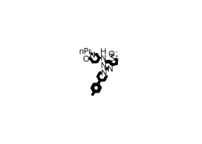 CCCN1C[C@@H](Nc2nc(N3CCC(c4ccc(C)cc4)CC3)nc3c2[S+]([O-])CC3)CCC1=O